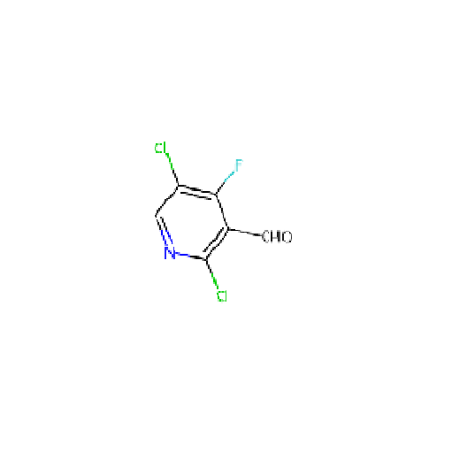 O=Cc1c(Cl)ncc(Cl)c1F